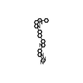 c1ccc(-c2ccc3ccc4ccc(-c5ccc6cc(-c7ccc8ccc(-c9ccc%10ccc(-c%11cnccn%11)nc%10c9)nc8c7)ccc6c5)nc4c3n2)cc1